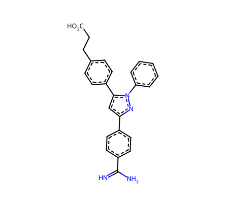 N=C(N)c1ccc(-c2cc(-c3ccc(CCC(=O)O)cc3)n(-c3ccccc3)n2)cc1